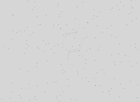 Cc1cc2c(cc1C)OP(C)O2